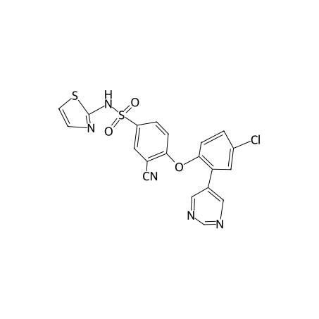 N#Cc1cc(S(=O)(=O)Nc2nccs2)ccc1Oc1ccc(Cl)cc1-c1cncnc1